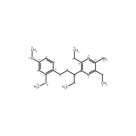 CCc1nc(C(CC)CCc2ccc(OC)cc2OC)c(CC)nc1N